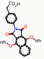 CCCOc1c2c(c(OCCC)c3ccccc13)C(=O)N(c1ccc(CC(=O)O)cc1)C2=O